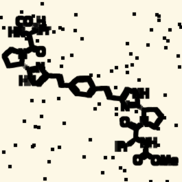 COC(=O)N[C@H](C(=O)N1CCC[C@H]1c1nc(/C=C/c2ccc(/C=C/c3c[nH]c([C@@H]4CCCN4C(=O)[C@@H](NC(=O)O)C(C)C)n3)cc2)c[nH]1)C(C)C